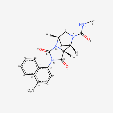 CC(C)NC(=O)N1C[C@@H]2C[C@H]1[C@@H]1C(=O)N(c3ccc([N+](=O)[O-])c4ccccc34)C(=O)N21